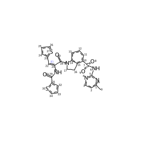 Cc1ccnc(NS(=O)(=O)c2cccc3c2CCN3C(=O)/C(=C\c2cccs2)NC(=O)c2cccs2)n1